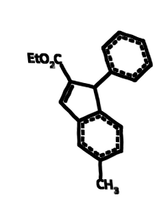 CCOC(=O)C1=Cc2cc(C)ccc2C1c1ccccc1